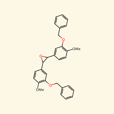 COc1ccc(C2OC2c2ccc(OC)c(OCc3ccccc3)c2)cc1OCc1ccccc1